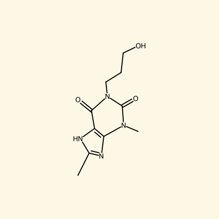 Cc1nc2c([nH]1)c(=O)n(CCCO)c(=O)n2C